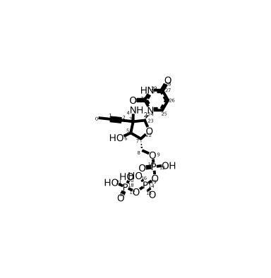 CC#CC1(N)C(O)[C@@H](COP(=O)(O)OP(=O)(O)OP(=O)(O)O)O[C@H]1n1ccc(=O)[nH]c1=O